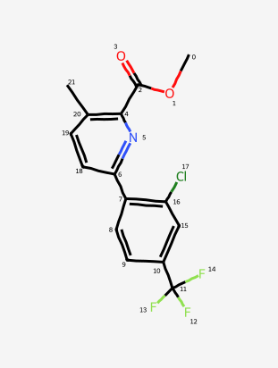 COC(=O)c1nc(-c2ccc(C(F)(F)F)cc2Cl)ccc1C